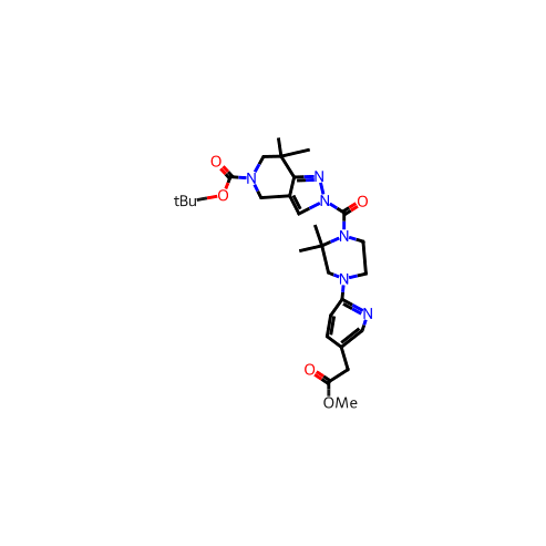 COC(=O)Cc1ccc(N2CCN(C(=O)n3cc4c(n3)C(C)(C)CN(C(=O)OC(C)(C)C)C4)C(C)(C)C2)nc1